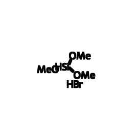 Br.CO[SiH](OC)OC